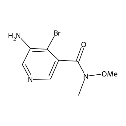 CON(C)C(=O)c1cncc(N)c1Br